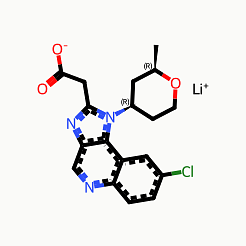 C[C@@H]1C[C@H](n2c(CC(=O)[O-])nc3cnc4ccc(Cl)cc4c32)CCO1.[Li+]